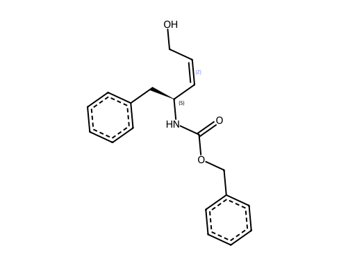 O=C(N[C@H](/C=C\CO)Cc1ccccc1)OCc1ccccc1